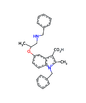 Cc1c(C(=O)O)c2cc(OC(C)CNCc3ccccc3)ccc2n1Cc1ccccc1